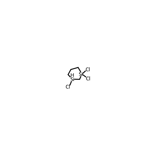 Cl[SiH]1CCC[Si](Cl)(Cl)C1